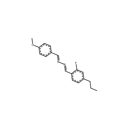 CCCc1ccc(C=NN=Cc2ccc(OC)cc2)c(F)c1